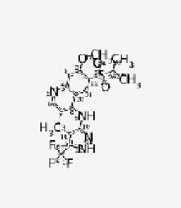 COc1cc2nccc(Nc3n[nH]c(C(F)(F)F)c3C)c2cc1S(=O)(=O)C(C)C